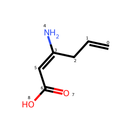 C=CC/C(N)=C\C(=O)O